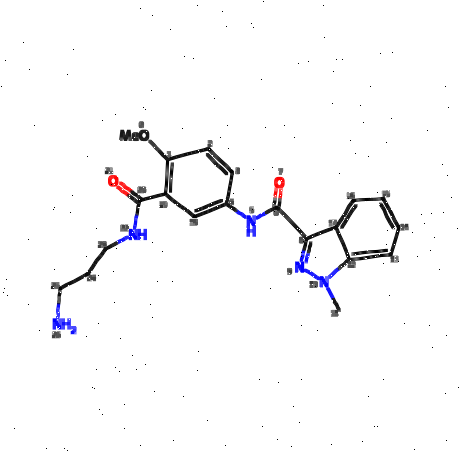 COc1ccc(NC(=O)c2nn(C)c3ccccc23)cc1C(=O)NCCCN